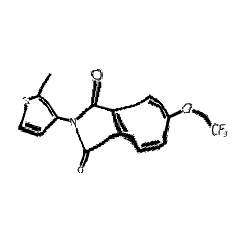 Cc1sccc1N1C(=O)c2ccc(OC(F)(F)F)cc2C1=O